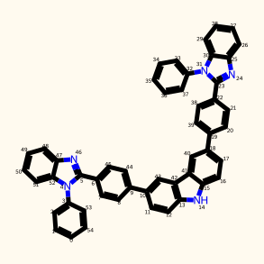 c1ccc(-n2c(-c3ccc(-c4ccc5[nH]c6ccc(-c7ccc(-c8nc9ccccc9n8-c8ccccc8)cc7)cc6c5c4)cc3)nc3ccccc32)cc1